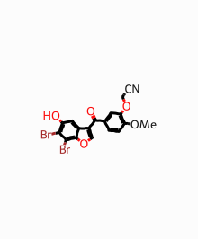 COc1ccc(C(=O)c2coc3c(Br)c(Br)c(O)cc23)cc1OCC#N